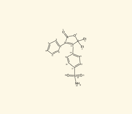 CCC1(CC)OC(=O)C(c2ccccc2)=C1c1ccc(S(N)(=O)=O)cc1